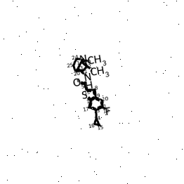 CC1(C)C(NC(=O)c2cc3cc(F)c(C4CC4)cc3s2)C2CCN1CC2